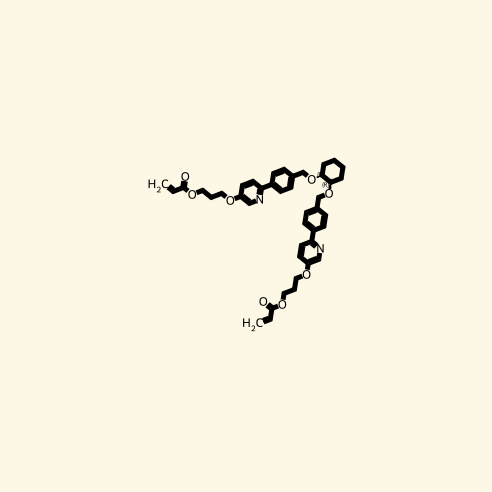 C=CC(=O)OCCCOc1ccc(-c2ccc(CO[C@@H]3CCCC[C@H]3OCc3ccc(-c4ccc(OCCCOC(=O)C=C)cn4)cc3)cc2)nc1